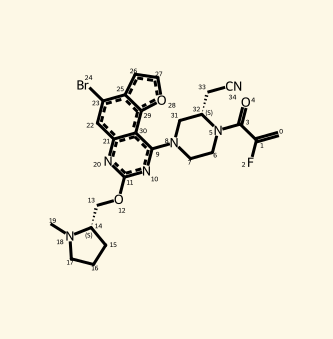 C=C(F)C(=O)N1CCN(c2nc(OC[C@@H]3CCCN3C)nc3cc(Br)c4ccoc4c23)C[C@@H]1CC#N